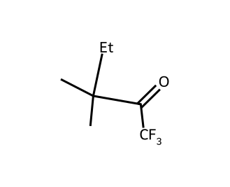 CCC(C)(C)C(=O)C(F)(F)F